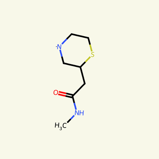 CNC(=O)CC1C[N]CCS1